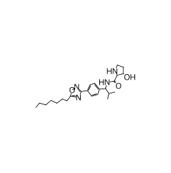 CCCCCCCc1nc(-c2ccc(C(NC(=O)C3NCCC3O)C(C)C)cc2)no1